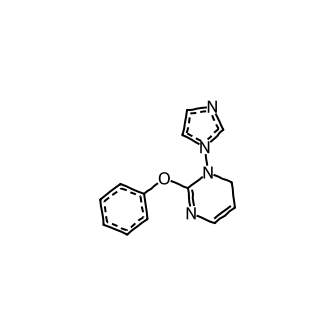 C1=CN=C(Oc2ccccc2)N(n2ccnc2)C1